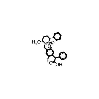 C[C@H]1CC[C@H](c2ccccc2)S(=O)(=O)N1Cc1cc(F)c(C(C(=O)O)c2ccccc2)cc1F